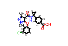 CC1=NN(C)C(Oc2cccc(Cl)c2)C1C(=O)NC1(c2ccc(C(=O)O)cc2)CC1